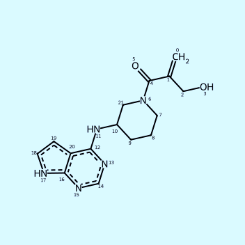 C=C(CO)C(=O)N1CCCC(Nc2ncnc3[nH]ccc23)C1